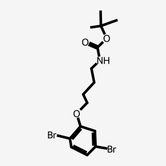 CC(C)(C)OC(=O)NCCCCOc1cc(Br)ccc1Br